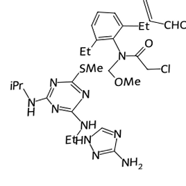 C=CC=O.CCNc1nc(NC(C)C)nc(SC)n1.CCc1cccc(CC)c1N(COC)C(=O)CCl.Nc1nc[nH]n1